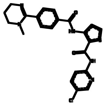 CN1CCCN=C1c1ccc(C(=O)Nc2ccsc2C(=O)Nc2ccc(Cl)cn2)cc1